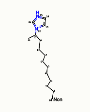 CCCCCCCCCCCCCCCCCCC(C)[n+]1cc[nH]c1